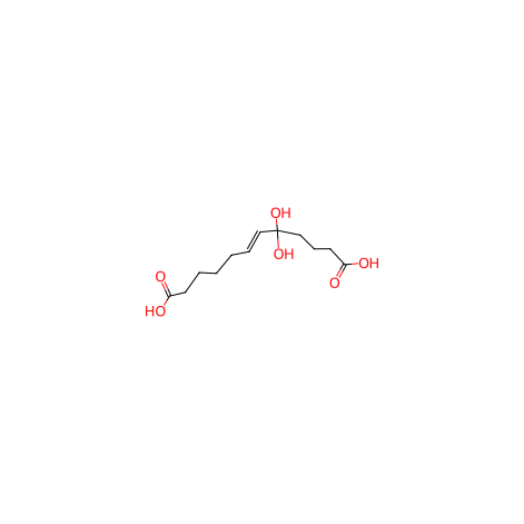 O=C(O)CCCCC=CC(O)(O)CCCC(=O)O